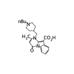 CCCCN1CCC(Cn2c(C)cc(=O)n3c4ccccc4c(C(=O)O)c23)CC1